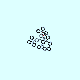 c1ccc(-c2cccc(N3c4cccc(-c5ccccc5)c4B4c5cc([Si](c6ccccc6)(c6ccccc6)c6ccccc6)ccc5N(c5ccc([Si](c6ccccc6)(c6ccccc6)c6ccccc6)cc5)c5cc(-n6c7ccccc7c7ccccc76)cc3c54)c2)cc1